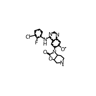 COc1cc2ncnc(Nc3cccc(Cl)c3F)c2cc1N1C(=O)OC2CN(C)CCC21